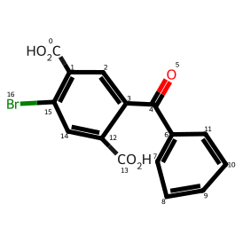 O=C(O)c1cc(C(=O)c2ccccc2)c(C(=O)O)cc1Br